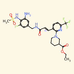 CCOC(=O)C1CCCN(c2nc(C(F)(F)F)ccc2/C=C/C(=O)NCc2cc(N)c(NS(C)(=O)=O)c(F)c2)C1